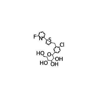 OC[C@H]1OC(c2ccc(Cl)c(Cc3ccc(-c4cccc(F)n4)s3)c2)[C@H](O)[C@@H](O)[C@@H]1O